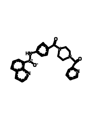 O=C(c1ccc(N[S+]([O-])c2cccc3cccnc23)cc1)N1CCN(C(=O)c2ccccn2)CC1